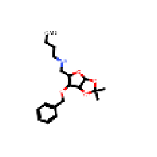 COCCCNCC1OC2OC(C)(C)OC2C1OCc1ccccc1